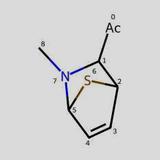 CC(=O)C1C2C=CC(S2)N1C